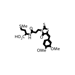 COc1ccc(/C=C2/SC(=S)N(CCC(=O)NC(CCSC)C(=O)O)C2=O)cc1OC